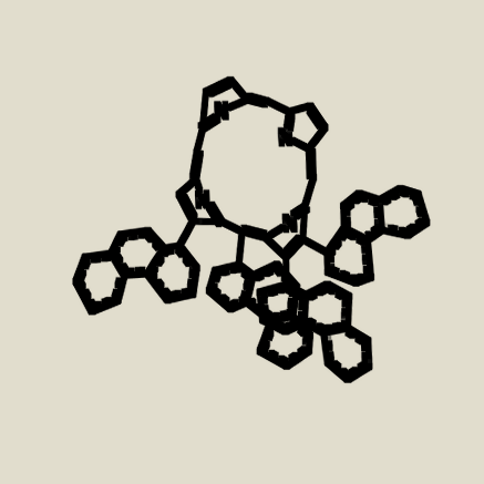 C1=CC2=NC1=CC1=NC(=C(c3cccc4c3ccc3ccccc34)C3=NC(=CC4=NC(=C2)C=C4)C=C3c2cccc3c2ccc2ccccc23)C(c2cccc3c2ccc2ccccc23)=C1c1cccc2c1ccc1ccccc12